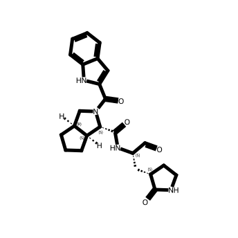 O=C[C@H](C[C@@H]1CCNC1=O)NC(=O)[C@@H]1[C@H]2CCC[C@H]2CN1C(=O)c1cc2ccccc2[nH]1